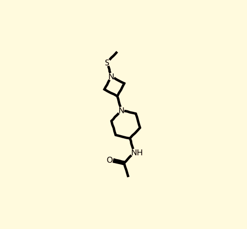 CSN1CC(N2CCC(NC(C)=O)CC2)C1